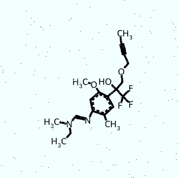 CC#CCOCC(O)(c1cc(C)c(N=CN(C)CC)cc1OC)C(F)(F)F